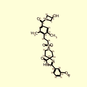 Cc1cc(C(=O)N2CC(O)C2)cc(C)c1CCS(=O)(=O)N1CCC2(CC1)N=C(c1cccc(OF)c1)NC2=O